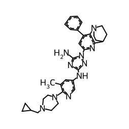 Cc1cc(Nc2nc(N)n(-c3cc(-c4ccccc4)c4c(n3)C3CCN4CC3)n2)cnc1N1CCN(CC2CC2)CC1